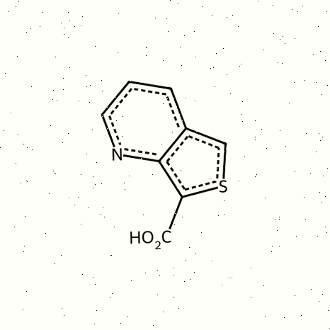 O=C(O)c1scc2cccnc12